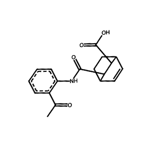 CC(=O)c1ccccc1NC(=O)C1C2C=CC(CC2)C1C(=O)O